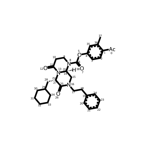 CC(=O)c1ccc(OC(=O)N2CCC(=O)N3[C@@H]2CN(CCc2ccccc2)C(=O)[C@@H]3CC2CCCCC2)cc1C